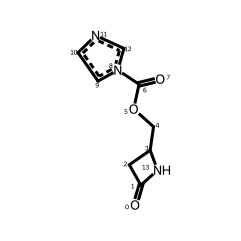 O=C1CC(COC(=O)n2ccnc2)N1